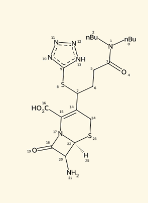 CCCCN(CCCC)C(=O)CCC(Sc1nnn[nH]1)C1=C(C(=O)O)N2C(=O)C(N)[C@@H]2SC1